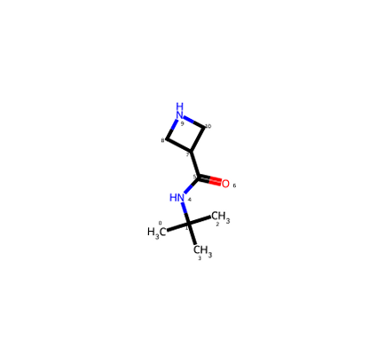 CC(C)(C)NC(=O)C1CNC1